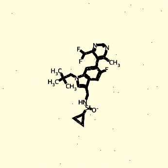 Cc1ncnc(C(F)F)c1-c1cc2c(cc1F)c(CN[S+]([O-])C1CC1)cn2CC(C)(C)C